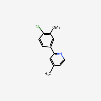 COc1cc(-c2cc(C)ccn2)ccc1Cl